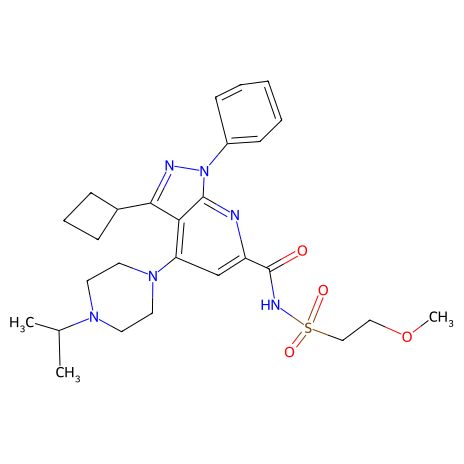 COCCS(=O)(=O)NC(=O)c1cc(N2CCN(C(C)C)CC2)c2c(C3CCC3)nn(-c3ccccc3)c2n1